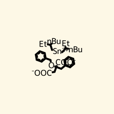 CCCCC(CC)[CH2][Sn+2][CH2]C(CC)CCCC.O=C([O-])CC(Cc1ccccc1)(OCc1ccccc1)C(=O)[O-]